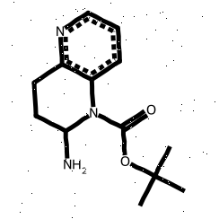 CC(C)(C)OC(=O)N1c2cccnc2CCC1N